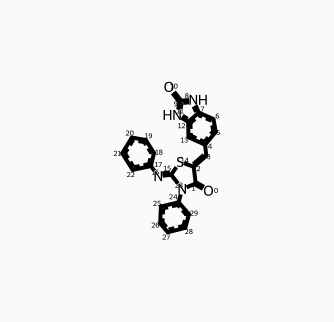 O=C1C(=Cc2ccc3[nH]c(=O)[nH]c3c2)SC(=Nc2ccccc2)N1c1ccccc1